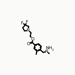 Cc1cc(C(=O)OCCN2CCC(F)(F)C2)ccc1CN(C)N